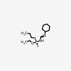 CCCSP(=S)(N/C=N/C1CCCCC1)OCC